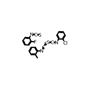 Cc1ccccc1N=C=S.Fc1ccccc1N=C=S.S=C=Nc1ccccc1Cl